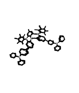 Cc1cc2c3c(c1)B(c1c(C)c(C)c(C)c(C)c1C)c1cc(-c4ccc(N(c5ccccc5)c5ccccc5)cc4)ccc1N3c1ccc(-c3ccc(N(c4ccccc4)c4ccccc4)cc3)cc1B2c1c(C)c(C)c(C)c(C)c1C